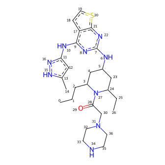 CCCC1CC(Nc2nc(Nc3cc(C)[nH]n3)c3ccsc3n2)CC(CC)N1C(=O)CN1CCNCC1